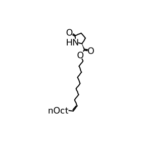 CCCCCCCC/C=C\CCCCCCCCOC(=O)[C@@H]1CCC(=O)N1